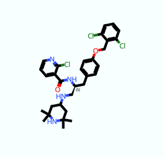 CC1(C)CC(NC[C@H](Cc2ccc(OCc3c(Cl)cccc3Cl)cc2)NC(=O)c2cccnc2Cl)CC(C)(C)N1